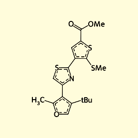 COC(=O)c1cc(-c2nc(-c3c(C(C)(C)C)coc3C)cs2)c(SC)s1